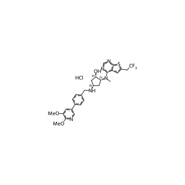 COc1cc(-c2ccc(CN[C@H]3C[C@@H](O)[C@@H](N(C)c4ncnc5sc(CC(F)(F)F)cc45)C3)cc2)cnc1OC.Cl